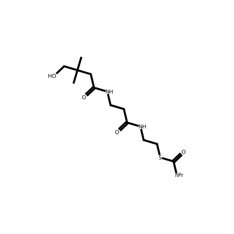 CCCC(=O)SCCNC(=O)CCNC(=O)CC(C)(C)CO